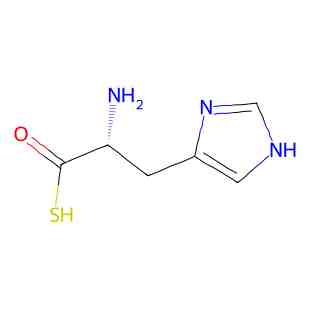 N[C@H](Cc1c[nH]cn1)C(=O)S